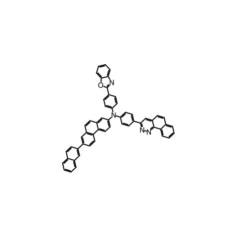 c1ccc2cc(-c3ccc4c(ccc5cc(N(c6ccc(-c7cc8ccc9ccccc9c8nn7)cc6)c6ccc(-c7nc8ccccc8o7)cc6)ccc54)c3)ccc2c1